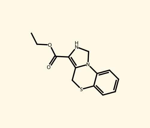 CCOC(=O)C1=C2CSc3ccccc3N2CN1